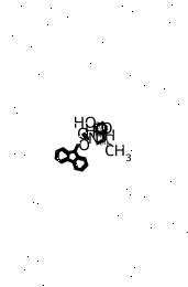 CC[C@@H]1CN(C(=O)OCC2c3ccccc3-c3ccccc32)[C@H]2[C@@H]1OC[C@@H]2O